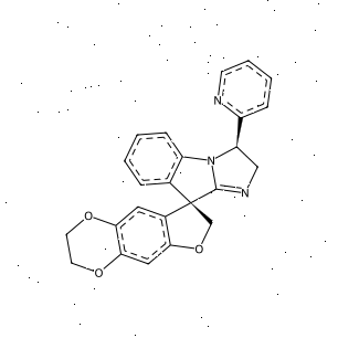 c1ccc([C@H]2CN=C3N2c2ccccc2[C@]32COc3cc4c(cc32)OCCO4)nc1